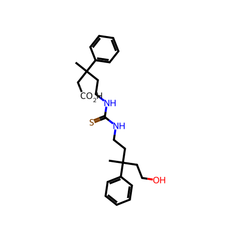 CC(CCO)(CCNC(=S)NCCC(C)(CC(=O)O)c1ccccc1)c1ccccc1